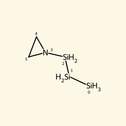 [SiH3][SiH2][SiH2]N1CC1